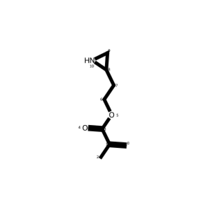 C=C(C)C(=O)OCCC1CN1